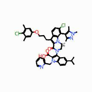 Cc1cc(OCCCc2c3n(c4c(-c5c(C)nn(C)c5C)c(Cl)ccc24)[C@H](C)CN(c2c(C(=O)O)n(Cc4ccccn4)c4ccc(C(C)C)cc24)C3=O)cc(C)c1Cl